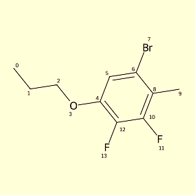 CCCOc1cc(Br)c(C)c(F)c1F